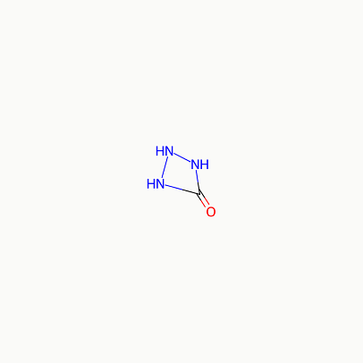 O=c1[nH][nH][nH]1